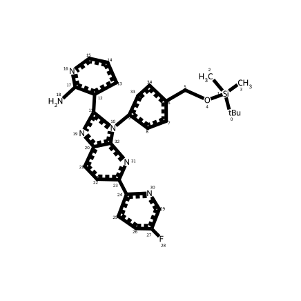 CC(C)(C)[Si](C)(C)OCc1ccc(-n2c(-c3cccnc3N)nc3ccc(-c4ccc(F)cn4)nc32)cc1